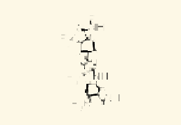 CCNC(=O)c1ccc(-c2nc(Nc3ccc(N)c(C=N)c3)n(C)n2)cc1C(F)(F)F